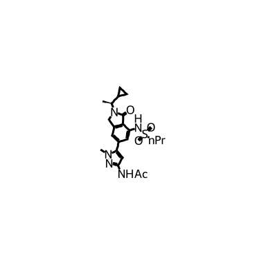 CCCS(=O)(=O)Nc1cc(-c2cc(NC(C)=O)nn2C)cc2c1C(=O)N([C@@H](C)C1CC1)C2